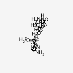 Nc1nc2c(ncn2[C@@H]2SC(OPOC[C@H]3[C@H](F)[C@H](n4cnc5c(N)ccnc54)O[C@@H]3COP)[C@H](F)[C@H]2OS)c(=O)[nH]1